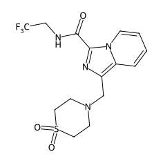 O=C(NCC(F)(F)F)c1nc(CN2CCS(=O)(=O)CC2)c2ccccn12